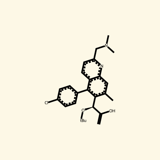 C=C(O)[C@@H](OC(C)(C)C)c1c(C)cc2nc(CN(C)C)ccc2c1-c1ccc(Cl)cc1